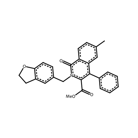 COC(=O)c1c(-c2ccccc2)c2cc(C)ccc2c(=O)n1Cc1ccc2c(c1)CCO2